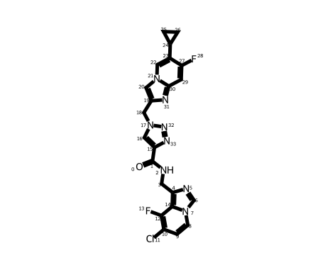 O=C(NCc1ncn2ccc(Cl)c(F)c12)c1cn(Cc2cn3cc(C4CC4)c(F)cc3n2)nn1